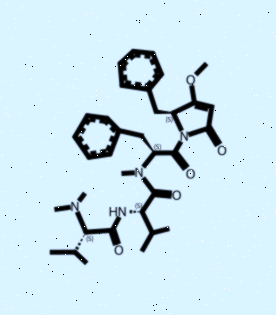 COC1=CC(=O)N(C(=O)[C@H](Cc2ccccc2)N(C)C(=O)[C@@H](NC(=O)[C@H](C(C)C)N(C)C)C(C)C)[C@H]1Cc1ccccc1